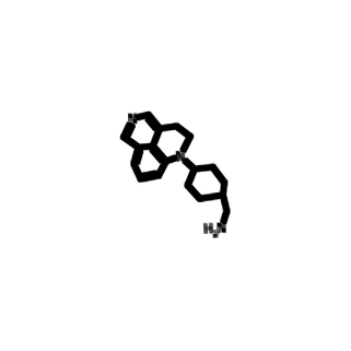 NCC1CCC(N2CCc3cncc4cccc2c34)CC1